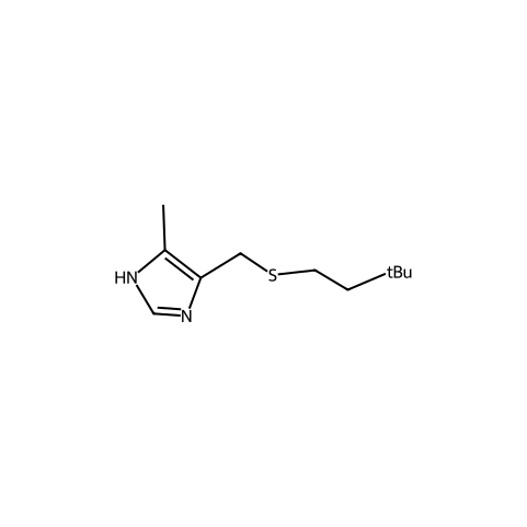 Cc1[nH]cnc1CSCCC(C)(C)C